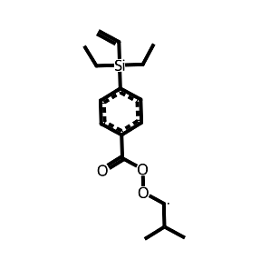 C=C[Si](CC)(CC)c1ccc(C(=O)OO[CH]C(C)C)cc1